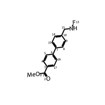 COC(=O)c1ccc(-c2ccc(CNF)cc2)cc1